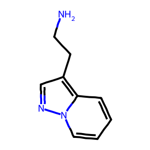 NCCc1cnn2ccccc12